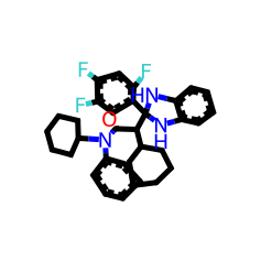 O=C(C(C1CCCCC1)C1(c2cc(F)c(F)cc2F)Nc2ccccc2N1)N(c1ccccc1)C1CCCCC1